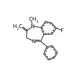 C=C1CN=C(c2ccccc2)c2cc(F)ccc2N1C